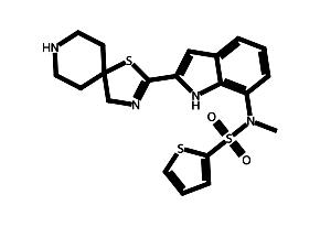 CN(c1cccc2cc(C3=NCC4(CCNCC4)S3)[nH]c12)S(=O)(=O)c1cccs1